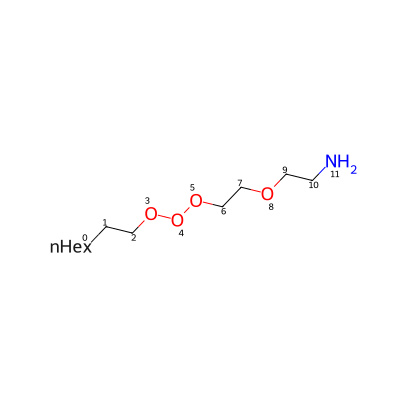 CCCCCCCCOOOCCOCCN